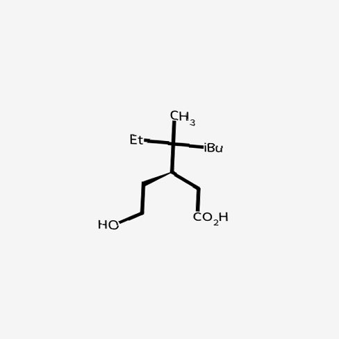 CCC(C)C(C)(CC)[C@H](CCO)CC(=O)O